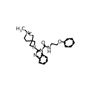 CN1CCC2(CC1)CN(c1nc3ccccc3n1C(=O)NCCOc1ccccc1)C2